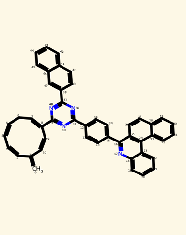 C=C1/C=C\C=C/C/C=C(c2nc(-c3ccc(-c4nc5ccccc5c5c4ccc4ccccc45)cc3)nc(-c3ccc4ccccc4c3)n2)\C=C/1